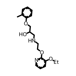 CCOc1cccnc1OCCNCC(O)COc1ccccc1C